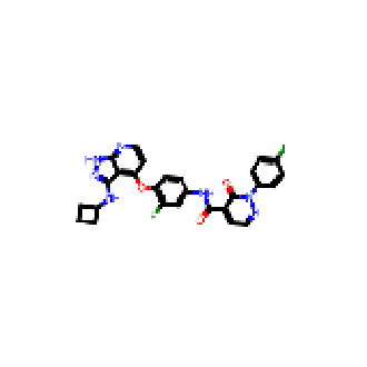 O=C(Nc1ccc(Oc2ccnc3[nH]nc(NC4CCC4)c23)c(F)c1)c1ccnn(-c2ccc(F)cc2)c1=O